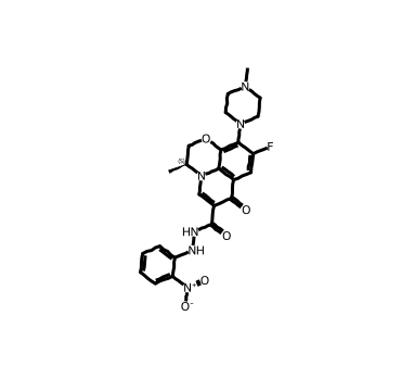 C[C@H]1COc2c(N3CCN(C)CC3)c(F)cc3c(=O)c(C(=O)NNc4ccccc4[N+](=O)[O-])cn1c23